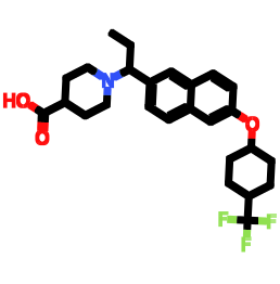 CCC(c1ccc2cc(OC3CCC(C(F)(F)F)CC3)ccc2c1)N1CCC(C(=O)O)CC1